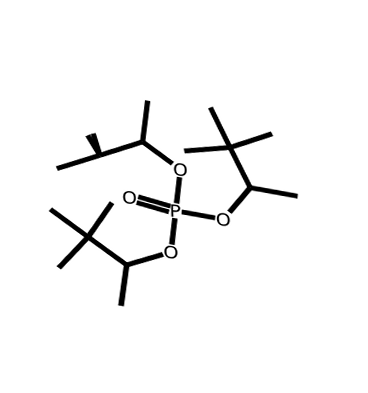 CC(OP(=O)(OC(C)C(C)(C)C)OC(C)C(C)(C)C)C(C)(C)C